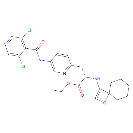 CCOC(=O)[C@H](Cc1ccc(NC(=O)c2c(Cl)cncc2Cl)cn1)NC1=COC12CCCCC2